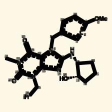 COc1ccc(Cn2c(N[C@@H]3CCC[C@@H]3O)nc3c2c(=O)n(C)c(=O)n3CC(C)C)cc1